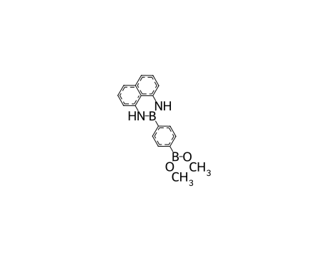 COB(OC)c1ccc(B2Nc3cccc4cccc(c34)N2)cc1